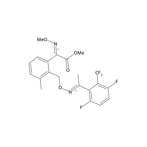 CO/N=C(/C(=O)OC)c1cccc(C)c1CO/N=C(\C)c1c(F)ccc(F)c1C(F)(F)F